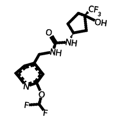 O=C(NCc1ccnc(OC(F)F)c1)N[C@@H]1CC[C@@](O)(C(F)(F)F)C1